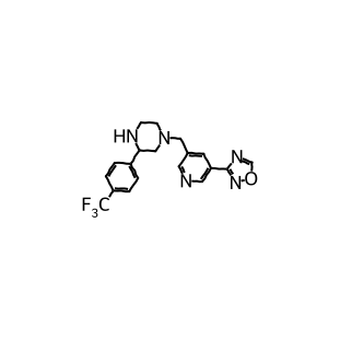 FC(F)(F)c1ccc(C2CN(Cc3cncc(-c4ncon4)c3)CCN2)cc1